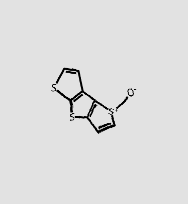 [O-][s+]1ccc2sc3sccc3c21